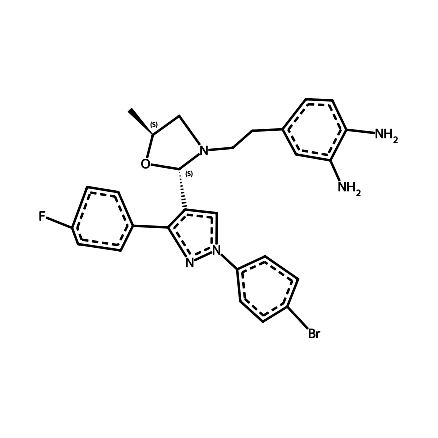 C[C@H]1CN(CCc2ccc(N)c(N)c2)[C@H](c2cn(-c3ccc(Br)cc3)nc2-c2ccc(F)cc2)O1